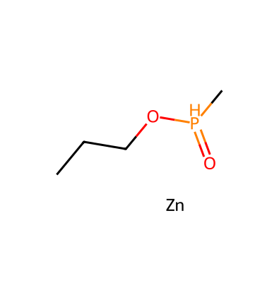 CCCO[PH](C)=O.[Zn]